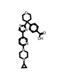 O=C(O)c1ccc(C2(c3nc(-c4ccc(N5CCN(C6CC6)CC5)nc4)cs3)CCOCC2)cc1